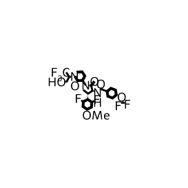 COc1cc(F)c([C@@H]2CN(c3cccn(C(CO)C(F)(F)F)c3=O)C(=O)[C@H]2NC(=O)c2ccc(OC(F)F)cc2)c(F)c1